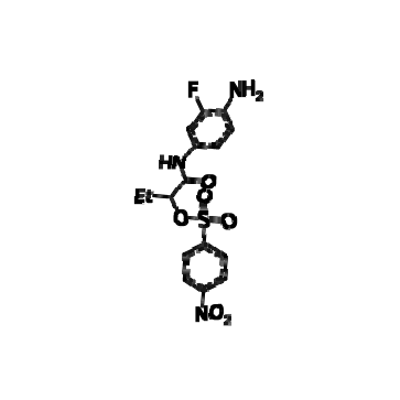 CCC(OS(=O)(=O)c1ccc([N+](=O)[O-])cc1)C(=O)Nc1ccc(N)c(F)c1